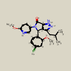 COc1ccc(N2C(=O)c3[nH]nc(CC(C)C)c3C2c2ccc(F)cc2OC)cn1